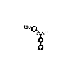 CC(C)(C)C1=CCC(COC(=N)c2ccc(-c3ccccc3)cc2)C=C1